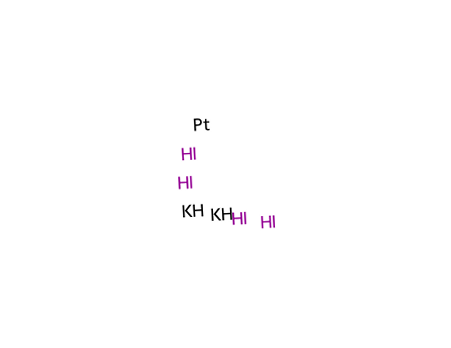 I.I.I.I.[KH].[KH].[Pt]